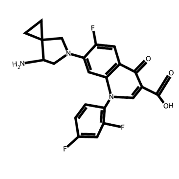 NC1CN(c2cc3c(cc2F)c(=O)c(C(=O)O)cn3-c2ccc(F)cc2F)CC12CC2